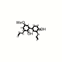 C=CCc1cc(-c2cc(OC)cc(CC=C)c2O)ccc1O